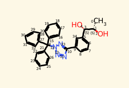 C[C@H](O)[C@@H](O)c1cccc(-c2nnn(C(c3ccccc3)(c3ccccc3)c3ccccc3)n2)c1